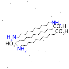 NCCCCCCCCCCC(=O)O.NCCCCCCCCCCN.O=C(O)CCCCCCCCCCC(=O)O